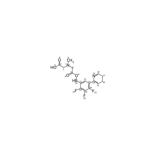 CN(CC(=O)O)CC(=O)OBc1cc(C2=CCCC=N2)c(F)c(F)c1F